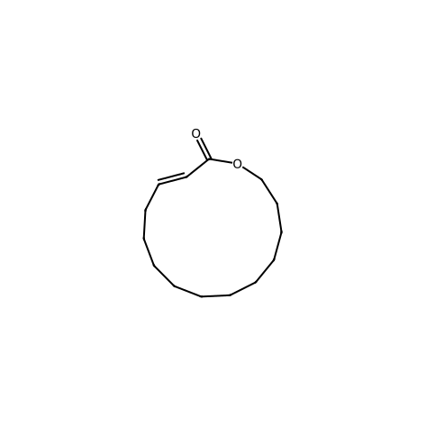 O=C1/C=C/CCCCCCCCCCCO1